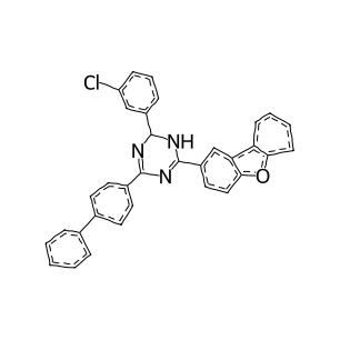 Clc1cccc(C2N=C(c3ccc(-c4ccccc4)cc3)N=C(c3ccc4oc5ccccc5c4c3)N2)c1